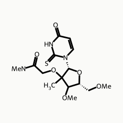 CNC(=O)COC1(C)C(OC)[C@@H](COC)O[C@H]1n1ccc(=O)[nH]c1=S